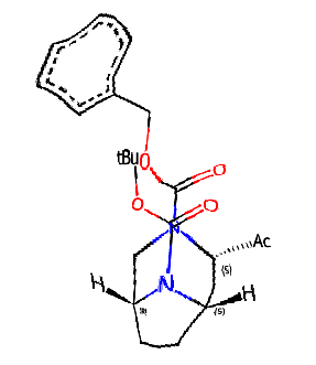 CC(=O)[C@@H]1[C@@H]2CC[C@H](CN1C(=O)OCc1ccccc1)N2C(=O)OC(C)(C)C